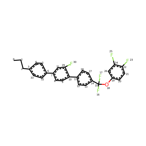 CCCc1ccc(-c2ccc(-c3ccc(C(F)(F)Oc4ccc(F)c(F)c4)cc3)c(F)c2)cc1